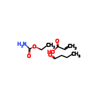 C=CC(=O)O.CCCC=O.CCOC(N)=O